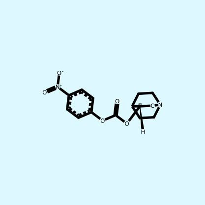 O=C(Oc1ccc([N+](=O)[O-])cc1)O[C@H]1CN2CCC1CC2